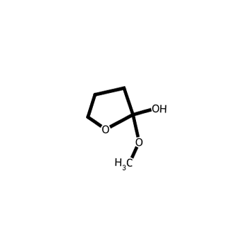 COC1(O)CCCO1